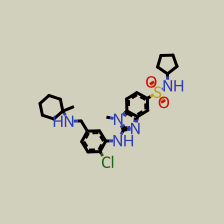 Cn1c(Nc2cc(CNC3(C)CCCCC3)ccc2Cl)nc2cc(S(=O)(=O)NC3CCCC3)ccc21